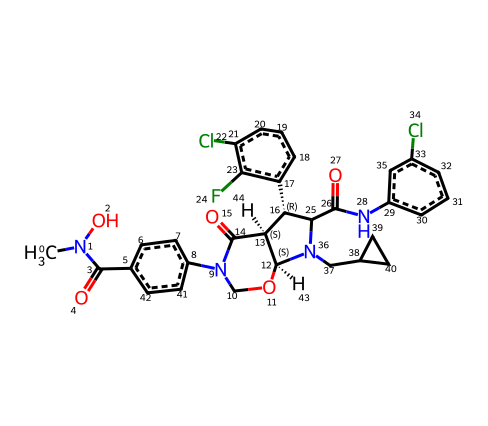 CN(O)C(=O)c1ccc(N2CO[C@H]3[C@@H](C2=O)[C@H](c2cccc(Cl)c2F)C(C(=O)Nc2cccc(Cl)c2)N3CC2CC2)cc1